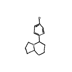 Brc1ccc(C2CCCC3CCCN32)cc1